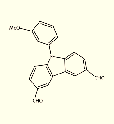 COc1cccc(-n2c3ccc(C=O)cc3c3cc(C=O)ccc32)c1